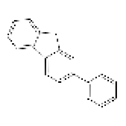 [c]1ccc(-c2ccc3c(c2)Cc2ccccc2-3)cc1